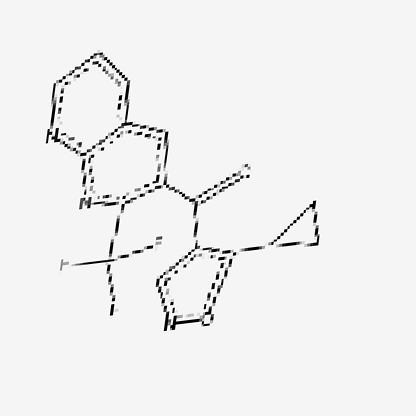 O=C(c1cc2cccnc2nc1C(F)(F)F)c1cnoc1C1CC1